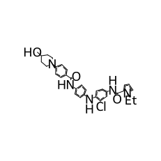 CCn1cccc1C(=O)Nc1ccc(Nc2ccc(NC(=O)c3ccc(N4CCC(O)CC4)cc3)cc2)c(Cl)c1